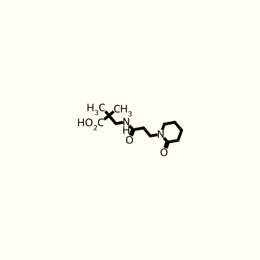 CC(C)(CNC(=O)CCN1CCCCC1=O)C(=O)O